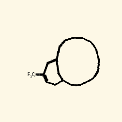 FC(F)(F)C1=CCC2CCCCCCCCCCCC(C1)C2